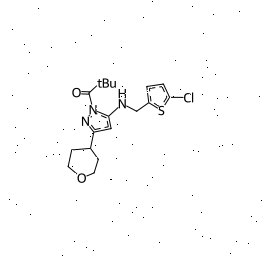 CC(C)(C)C(=O)n1nc(C2CCOCC2)cc1NCc1ccc(Cl)s1